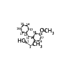 C#CCC.COc1cccc(Cc2ccccc2)c1